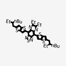 CCCCC(CC)Cc1cc2sc(-c3c4nsnc4c(-c4cc5sc(CC(CC)CCCC)cc5s4)c4nc(CC)c(CC)nc34)cc2s1